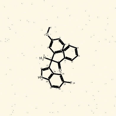 COc1cccc(C(N)(C(=O)c2ccccc2)c2c[nH]c3ccc(F)cc23)c1